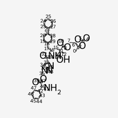 Cc1oc(=O)oc1COC(=O)[C@](C)(CO)C[C@@H](Cc1ccc(-c2ccccc2)cc1)NC(=O)c1cn(COC(=O)[C@H](N)c2ccccc2)nn1